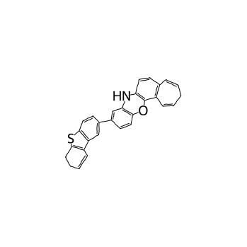 C1=Cc2ccc3c(c2C=CC1)Oc1ccc(-c2ccc4sc5c(c4c2)C=CCC5)cc1N3